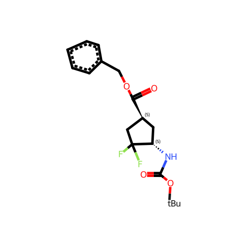 CC(C)(C)OC(=O)N[C@H]1C[C@H](C(=O)OCc2ccccc2)CC1(F)F